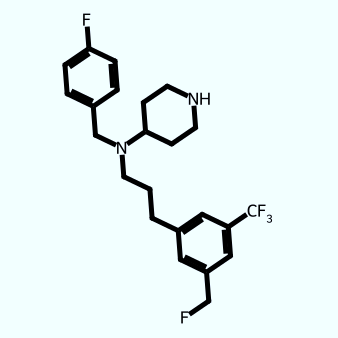 FCc1cc(CCCN(Cc2ccc(F)cc2)C2CCNCC2)cc(C(F)(F)F)c1